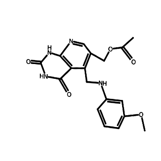 COc1cccc(NCc2c(COC(C)=O)cnc3[nH]c(=O)[nH]c(=O)c23)c1